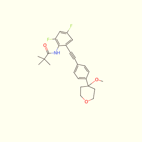 COC1(c2ccc(C#Cc3cc(F)cc(F)c3NC(=O)C(C)(C)C)cc2)CCOCC1